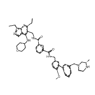 CCc1nc2c(cnn2CC)c(NC2CCOCC2)c1CNC(=O)c1cccc(C(=O)NCc2ccc(OC)c(-c3cccc(CN4CCN[C@H](C)C4)c3)c2)n1